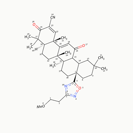 COCCc1noc([C@]23CCC(C)(C)CC2C2C(=O)C=C4[C@@]5(C)C=C(C#N)C(=O)C(C)(C)[C@@H]5CC[C@@]4(C)[C@]2(C)CC3)n1